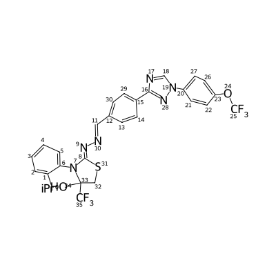 CC(C)c1ccccc1N1/C(=N/N=C/c2ccc(-c3ncn(-c4ccc(OC(F)(F)F)cc4)n3)cc2)SCC1(O)C(F)(F)F